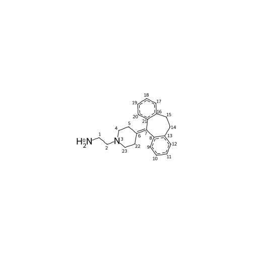 NCCN1CCC(=C2c3ccccc3CCc3ccccc32)CC1